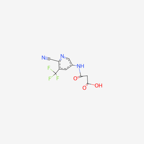 N#Cc1ncc(NC(=O)CC(=O)O)cc1C(F)(F)F